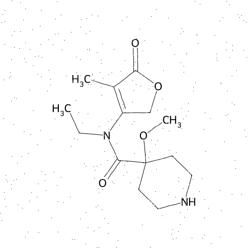 CCN(C(=O)C1(OC)CCNCC1)C1=C(C)C(=O)OC1